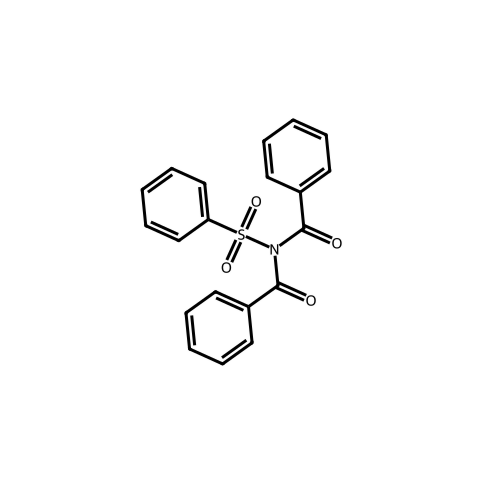 O=C(c1ccccc1)N(C(=O)c1ccccc1)S(=O)(=O)c1ccccc1